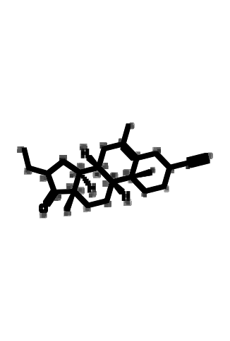 C#CC1CC[C@@]2(C)C(=C(C)C[C@@H]3[C@H]2CC[C@]2(C)C(=O)C(CC)C[C@@H]32)C1